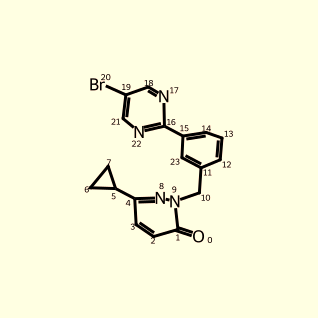 O=c1ccc(C2CC2)nn1Cc1cccc(-c2ncc(Br)cn2)c1